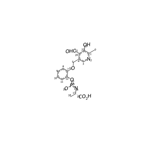 Cc1ncc(COc2ccccc2O[P+]([O-])=N[C@@H](C)C(=O)O)c(C=O)c1O